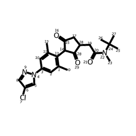 Cc1cc(-n2cc(Cl)cn2)cc(C)c1C1C(=O)CC(CC(=O)N(C)C(C)(C)C)C1=O